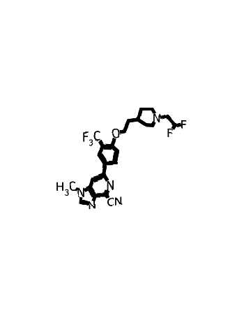 Cn1cnc2c(C#N)nc(-c3ccc(OCCC4CCN(CC(F)F)CC4)c(C(F)(F)F)c3)cc21